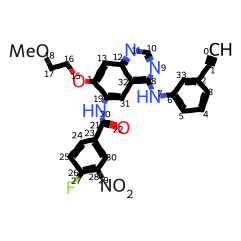 C#Cc1cccc(Nc2ncnc3cc(OCCOC)c(NC(=O)c4ccc(F)c([N+](=O)[O-])c4)cc23)c1